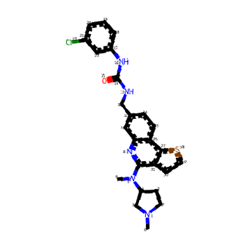 CN1CCC(N(C)c2nc3cc(CNC(=O)Nc4cccc(Cl)c4)ccc3c3sccc23)C1